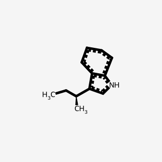 CC[C@H](C)c1c[nH]c2ccccc12